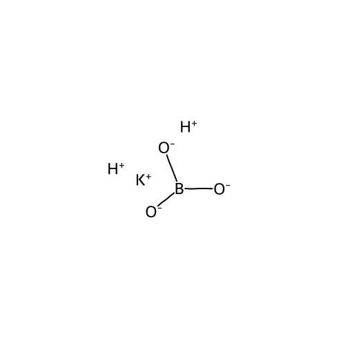 [H+].[H+].[K+].[O-]B([O-])[O-]